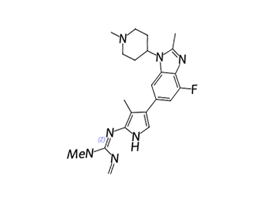 C=N/C(=N\c1[nH]cc(-c2cc(F)c3nc(C)n(C4CCN(C)CC4)c3c2)c1C)NC